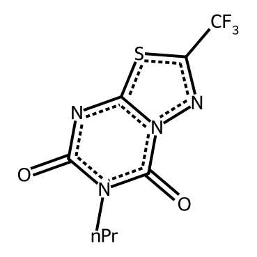 CCCn1c(=O)nc2sc(C(F)(F)F)nn2c1=O